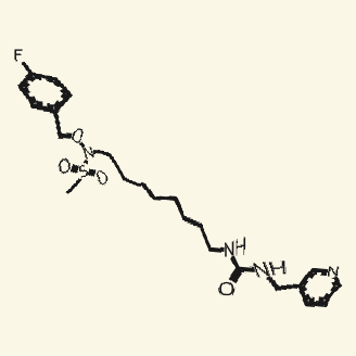 CS(=O)(=O)N(CCCCCCCCNC(=O)NCc1cccnc1)OCc1ccc(F)cc1